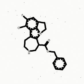 O=C(OCc1ccccc1)C1CNCCc2c1n1c3c(cc(F)c(Cl)c23)CC1